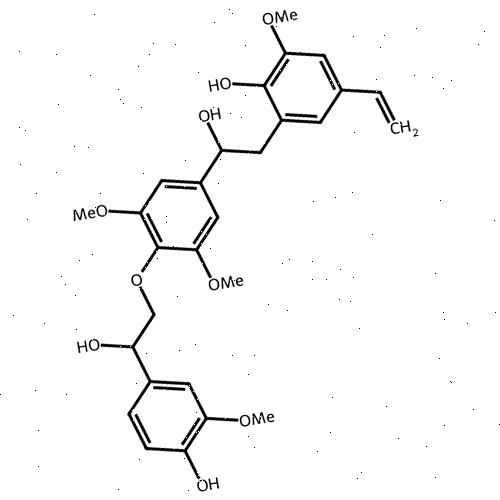 C=Cc1cc(CC(O)c2cc(OC)c(OCC(O)c3ccc(O)c(OC)c3)c(OC)c2)c(O)c(OC)c1